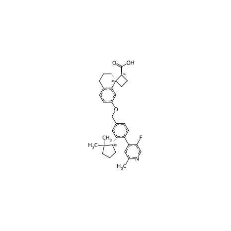 Cc1cc(-c2ccc(COc3ccc4c(c3)[C@]3(CCC4)CC[C@@H]3C(=O)O)cc2[C@@H]2CCCC2(C)C)c(F)cn1